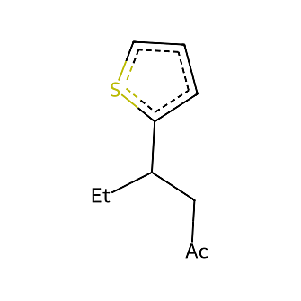 CCC(CC(C)=O)c1cccs1